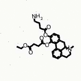 CCOC(=O)CCC(=O)Oc1c(OC(=O)CCCN)ccc2c1-c1cccc3c1[C@@H](C2)N(C)CC3